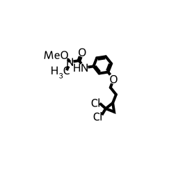 CON(C)C(=O)Nc1cccc(OCCC2CC2(Cl)Cl)c1